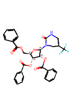 O=C(OC[C@H]1O[C@@H](N2CC(C(F)(F)F)CNC2=O)[C@H](OC(=O)c2ccccc2)[C@@H]1OC(=O)c1ccccc1)c1ccccc1